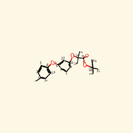 Cc1ccc(Oc2cccc(OC(C)(C)C(=O)OC(C)(C)C)c2)cc1